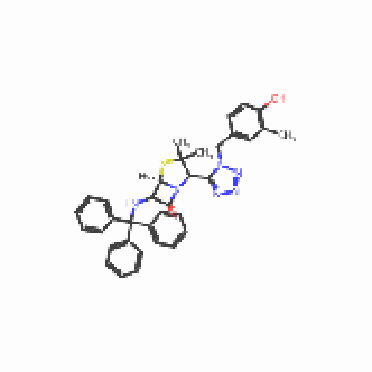 Cc1cc(Cn2nnnc2C2N3C(=O)C(NC(c4ccccc4)(c4ccccc4)c4ccccc4)[C@H]3SC2(C)C)ccc1O